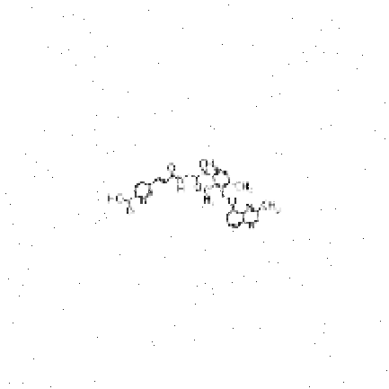 Cc1cnc2cccc(OCc3c(C)ccc(N(C)C(=O)CNC(=O)C=Cc4ccc(C(=O)O)nc4)c3C)c2n1